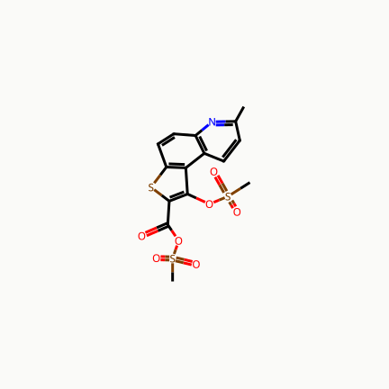 Cc1ccc2c(ccc3sc(C(=O)OS(C)(=O)=O)c(OS(C)(=O)=O)c32)n1